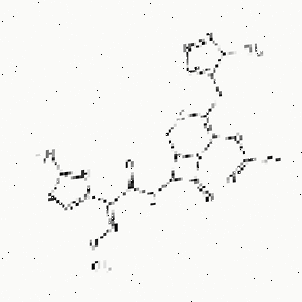 CON=C(C(=O)NC1C(=O)N2C(OC(=O)O)=C(Sc3nnnn3C)SCC12)c1csc(N)n1